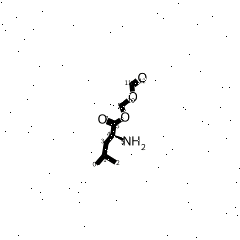 CC(C)C[C@H](N)C(=O)OCO[C]=O